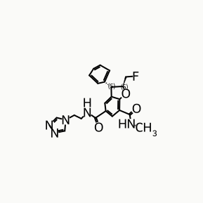 CNC(=O)c1cc(C(=O)NCCn2cnnc2)cc2c1O[C@H](CF)[C@H]2c1ccccc1